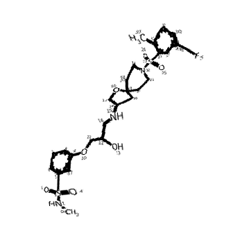 CNS(=O)(=O)c1cccc(OCC(O)CNC2COC3(CCN(S(=O)(=O)c4cc(F)ccc4C)CC3)C2)c1